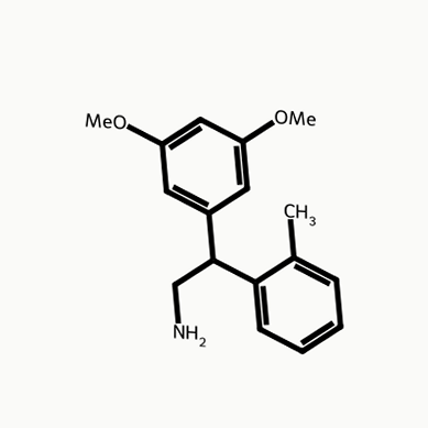 COc1cc(OC)cc(C(CN)c2ccccc2C)c1